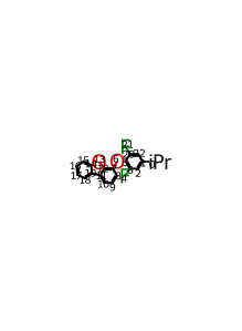 CC(C)c1cc(F)c(Oc2cccc3c2oc2ccccc23)c(F)c1